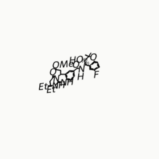 CCC1(CC)CC(=O)N(C(CCOC)c2cccc(C(=O)N[C@@H]3c4cc(F)ccc4OC(C)(C)[C@H]3O)c2)C(=N)N1